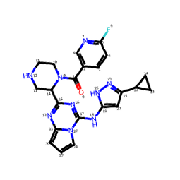 O=C(c1ccc(F)nc1)N1CCNCC1c1nc(Nc2cc(C3CC3)n[nH]2)n2cccc2n1